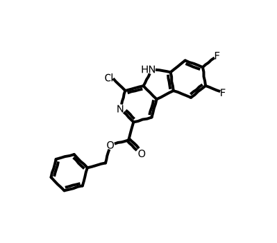 O=C(OCc1ccccc1)c1cc2c([nH]c3cc(F)c(F)cc32)c(Cl)n1